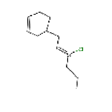 CCC[Si](Cl)=CCC1CC=CCC1